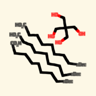 CCCCCCCCCCCCCCCCCC(=O)O.CCCCCCCCCCCCCCCCCC(=O)O.CCCCCCCCCCCCCCCCCC(=O)O.OCC(CO)(CO)CO